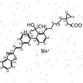 CC(C)(O)c1c(CCCSCC2(CC(=O)[O-])CC2)cccc1-c1cccc(C=Cc2nc3ccccc3s2)c1.[Na+]